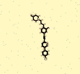 Cc1cc(C#Cc2ccc(-c3ccc(Cl)cc3)cn2)ccc1CCCN1CCC(C)CC1